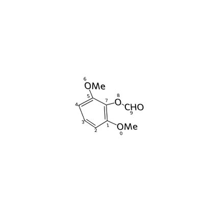 COc1cccc(OC)c1OC=O